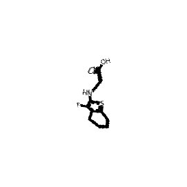 O=C(O)CNc1sc2c(c1F)CCCC2